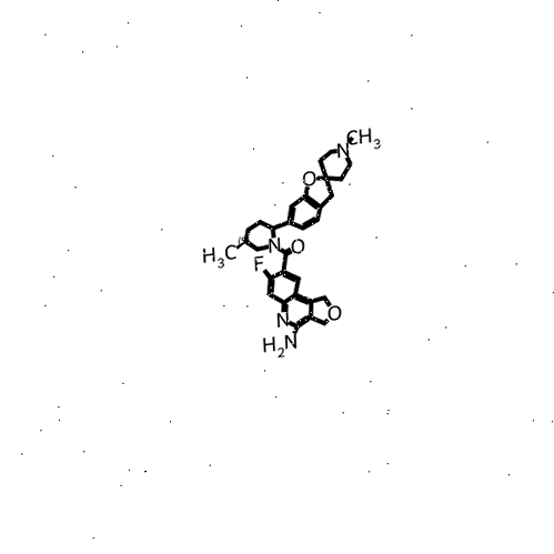 C[C@H]1CCC(c2ccc3c(c2)OC2(CCN(C)CC2)C3)N(C(=O)c2cc3c4c(c(N)nc3cc2F)COC4)C1